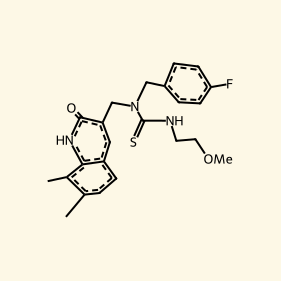 COCCNC(=S)N(Cc1ccc(F)cc1)Cc1cc2ccc(C)c(C)c2[nH]c1=O